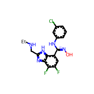 CCNCc1nc2c(F)c(F)cc(/C(=N\O)Nc3cccc(Cl)c3)c2[nH]1